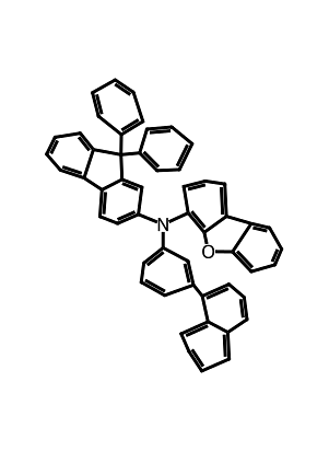 c1ccc(C2(c3ccccc3)c3ccccc3-c3ccc(N(c4cccc(-c5cccc6ccccc56)c4)c4cccc5c4oc4ccccc45)cc32)cc1